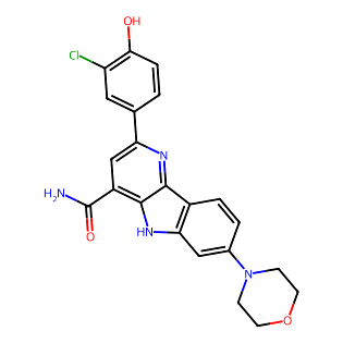 NC(=O)c1cc(-c2ccc(O)c(Cl)c2)nc2c1[nH]c1cc(N3CCOCC3)ccc12